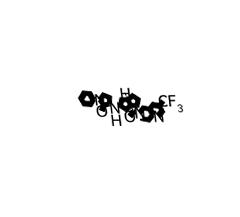 O=C1C(N[C@@H]2C[C@H]3CCC[C@@]3(C(=O)N3CCc4ncc(C(F)(F)F)cc4C3)C2)CCN1c1ccccc1